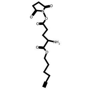 C#CCCCCOC(=O)C(N)CCC(=O)ON1C(=O)CCC1=O